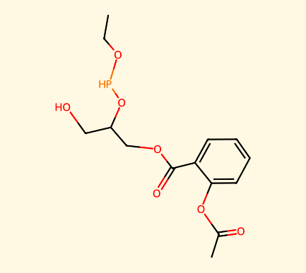 CCOPOC(CO)COC(=O)c1ccccc1OC(C)=O